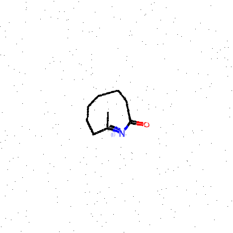 C/C1=N\C(=O)CCCCCC1